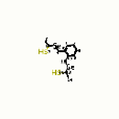 CC(S)[Se]Cc1ccccc1C[Se]C(C)S